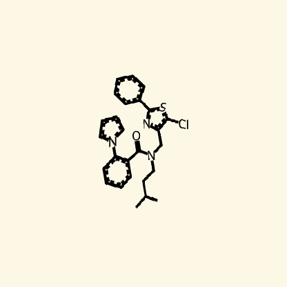 CC(C)CCN(Cc1nc(-c2ccccc2)sc1Cl)C(=O)c1ccccc1-n1cccc1